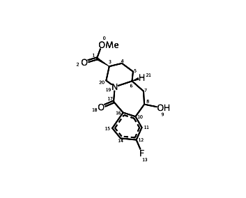 COC(=O)[C@H]1CC[C@@H]2CC(O)c3cc(F)ccc3C(=O)N2C1